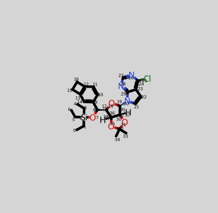 CC[Si](CC)(CC)OC(c1ccc2c(c1)CC2)[C@H]1O[C@@H](n2ccc3c(Cl)ncnc32)[C@@H]2OC(C)(C)O[C@@H]21